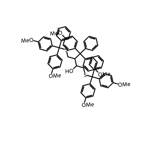 COc1ccc(C(SCC(O)C(CSC(c2ccccc2)(c2ccc(OC)cc2)c2ccc(OC)cc2)C(c2ccccc2)(c2ccc(OC)cc2)c2ccc(OC)cc2)(c2ccccc2)c2ccc(OC)cc2)cc1